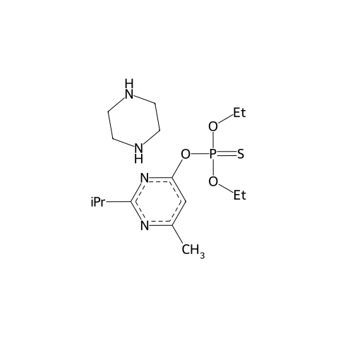 C1CNCCN1.CCOP(=S)(OCC)Oc1cc(C)nc(C(C)C)n1